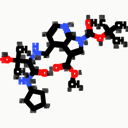 COC(=O)c1cn(C(=O)OC(C)(C)C)c2nccc(CN[C@@H](C(=O)NC3CCCC3)C(C)(C)O)c12